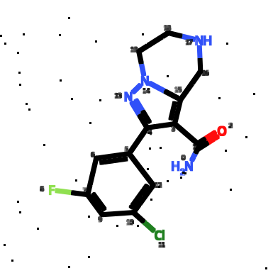 NC(=O)c1c(-c2cc(F)cc(Cl)c2)nn2c1CNCC2